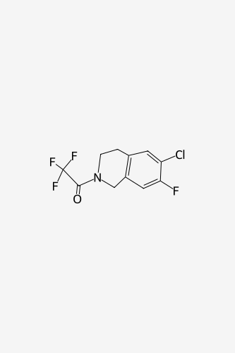 O=C(N1CCc2cc(Cl)c(F)cc2C1)C(F)(F)F